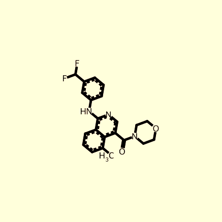 Cc1cccc2c(Nc3cccc(C(F)F)c3)ncc(C(=O)N3CCOCC3)c12